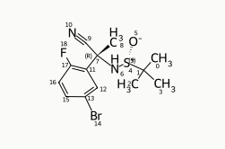 CC(C)(C)[S@@+]([O-])N[C@@](C)(C#N)c1cc(Br)ccc1F